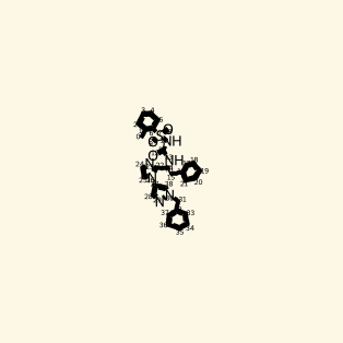 Cc1ccccc1S(=O)(=O)NC(=O)N[C@@H](Cc1ccccc1)c1nccn1-c1cnn(Cc2ccccc2)c1